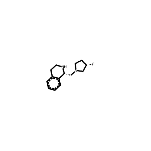 F[C@H]1CCN(C[C@H]2NCCc3ccccc32)C1